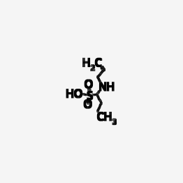 C=CCNC(CCC)S(=O)(=O)O